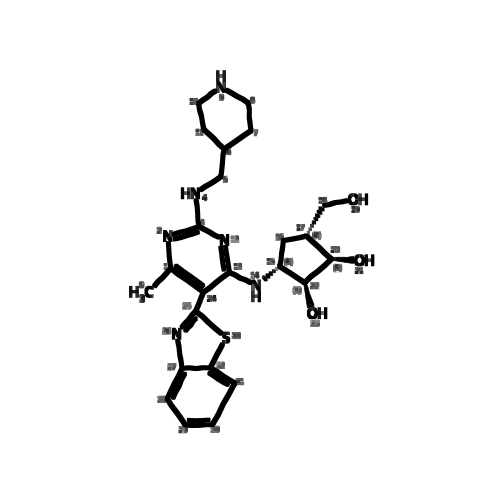 Cc1nc(NCC2CCNCC2)nc(N[C@@H]2C[C@H](CO)[C@@H](O)[C@H]2O)c1-c1nc2ccccc2s1